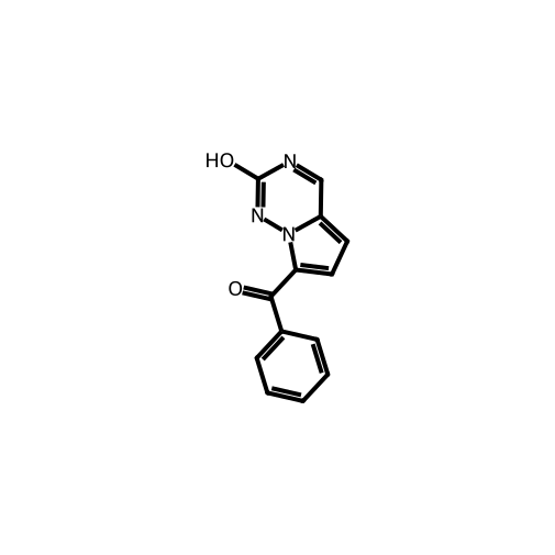 O=C(c1ccccc1)c1ccc2cnc(O)nn12